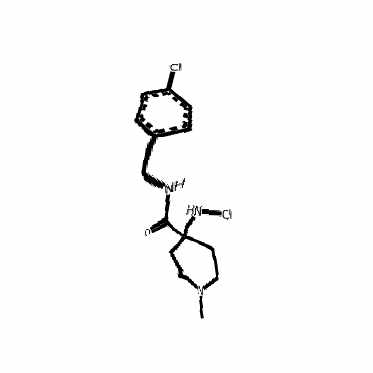 CN1CCC(NCl)(C(=O)NCc2ccc(Cl)cc2)CC1